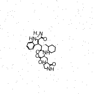 NC(=O)c1[nH]c2ccccc2c1[C@H](CC1CCCCC1)C(=O)N[C@@H](C[C@@H]1CCNC1=O)C(=O)O